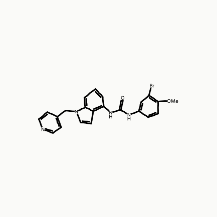 COc1ccc(NC(=O)Nc2cccc3c2ccn3Cc2ccncc2)cc1Br